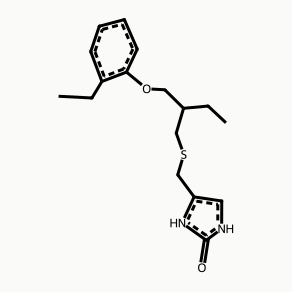 CCc1ccccc1OCC(CC)CSCc1c[nH]c(=O)[nH]1